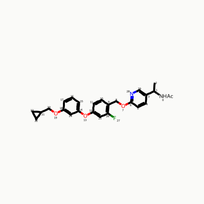 CC(=O)NC(C)c1ccc(OCc2ccc(Oc3cccc(OCC4CC4)c3)cc2F)nc1